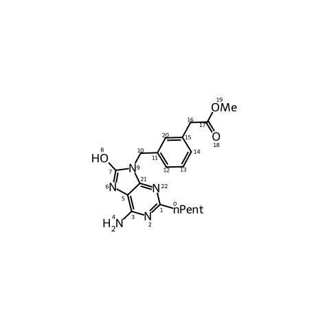 CCCCCc1nc(N)c2nc(O)n(Cc3cccc(CC(=O)OC)c3)c2n1